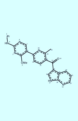 COc1nc(NC(C)C)ncc1-c1ccc(C(=O)c2c[nH]c3ncccc23)c(C)n1